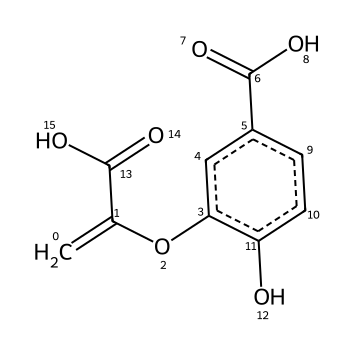 C=C(Oc1cc(C(=O)O)ccc1O)C(=O)O